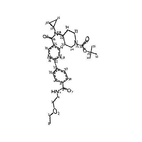 CCOCCNC(=O)c1ccc(-c2ncc(C(=O)N(C3CC3)C3CCN(C(=O)OC(C)(C)C)CC3)cn2)cc1